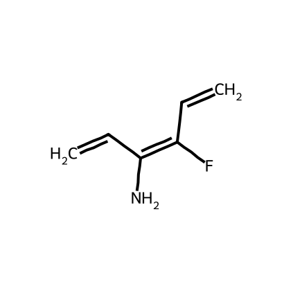 C=C/C(N)=C(/F)C=C